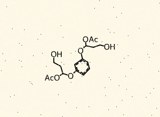 CC(=O)OC(CCO)Oc1cccc(OC(CCO)OC(C)=O)c1